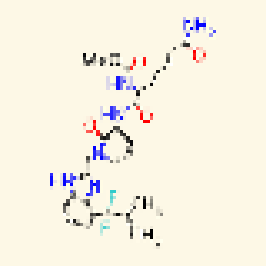 C=C(C)C(F)(F)c1cccc2[nH]c(Cn3cccc(NC(=O)[C@H](CC/C=C/C(N)=O)NC(=O)OC)c3=O)nc12